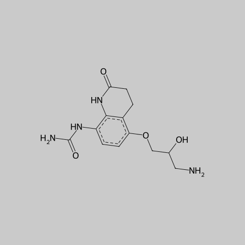 NCC(O)COc1ccc(NC(N)=O)c2c1CCC(=O)N2